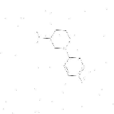 CN(C)C1CCCN(c2ccc(Br)cc2)C1